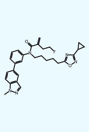 C=C(CCF)C(=O)N(CCCCCc1nc(C2CC2)no1)c1cccc(-c2ccc3c(cnn3C)c2)c1